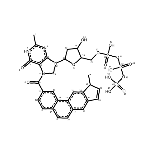 Cc1nc2c(c(=O)[nH]1)N(C(=O)c1ccc3ccc4cc5c(cc4c3c1)C(C)C=C5)CN2C1CC(O)C(COP(=O)(O)OP(=O)(O)OP(=O)(O)O)O1